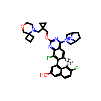 CCc1c(F)ccc2cc(O)cc(-c3c(C(F)(F)F)cc4c(N5CC6CCC(C5)N6)nc(OCC5(CN6CCOCC67CCC7)CC5)nc4c3F)c12